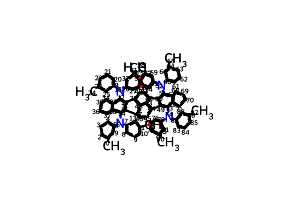 Cc1cccc(N(c2cccc(C)c2)c2c3c(c(N(c4cccc(C)c4)c4cccc(C)c4)c4ccccc24)-c2ccc4c5c(ccc-3c25)-c2c-4c(N(c3cccc(C)c3)c3cccc(C)c3)c3ccccc3c2N(c2cccc(C)c2)c2cccc(C)c2)c1